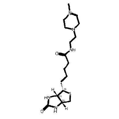 CN1CCN(CCNC(=O)CCCC[C@@H]2SC[C@@H]3NC(=O)N[C@@H]32)CC1